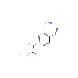 CC(C(N)=O)c1ccc2c(c1)SN=NC=C2